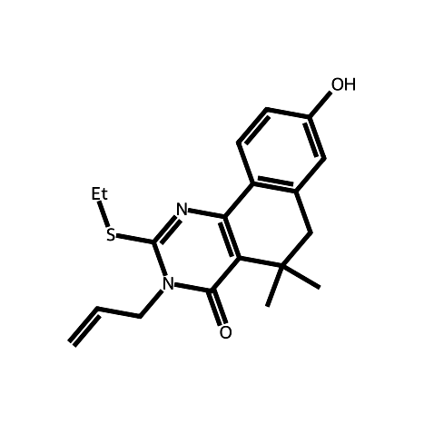 C=CCn1c(SCC)nc2c(c1=O)C(C)(C)Cc1cc(O)ccc1-2